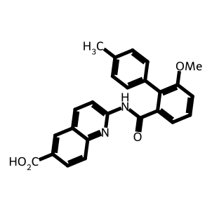 COc1cccc(C(=O)Nc2ccc3cc(C(=O)O)ccc3n2)c1-c1ccc(C)cc1